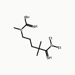 CCN(CC)C(=N)C(C)(C)CCCN(C)C(=N)C(C)(C)C